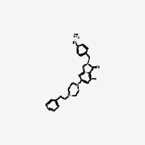 Cc1cc(N2CCN(CCc3ccncc3)CC2)cc2c1C(=O)N(Cc1ccc(OC(F)(F)F)cc1)C2